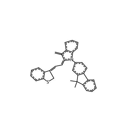 C=c1/c(=C\C=C2/CSc3ccccc32)n(-c2ccc3c(c2)C(C)(C)c2ccccc2-3)c2ccccc12